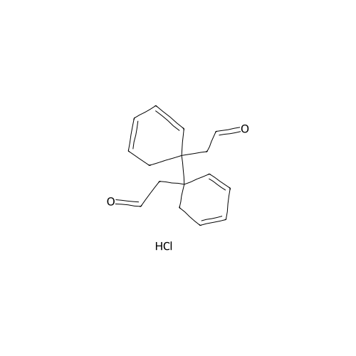 Cl.O=CCC1(C2(CC=O)C=CC=CC2)C=CC=CC1